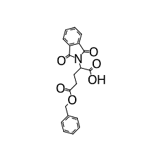 O=C(CCC(C(=O)O)N1C(=O)c2ccccc2C1=O)OCc1ccccc1